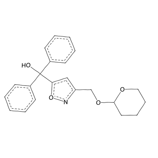 OC(c1ccccc1)(c1ccccc1)c1cc(COC2CCCCO2)no1